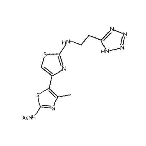 CC(=O)Nc1nc(C)c(-c2csc(NCCc3nnn[nH]3)n2)s1